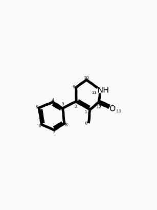 CC1=C(c2ccccc2)CCNC1=O